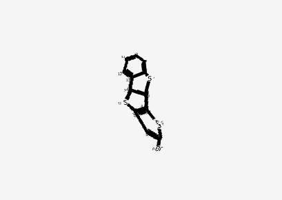 Brc1cc2c(s1)C1Sc3ccccc3C1S2